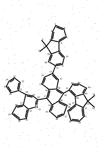 CC1(C)c2ccccc2-c2ccc(-c3ccc4c(-c5cc(-c6ccccc6)c6ccccc6n5)c5ccccc5c(-c5cccc6c5-c5ccccc5C6(C)C)c4c3)cc21